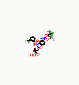 CC(C)(OC(=O)Nc1ccc2c(c1)N(S(=O)(=O)c1cccc(C(F)(F)F)c1)C[C@@H](CC1(C(=O)O)CC1)O2)C(F)(F)F